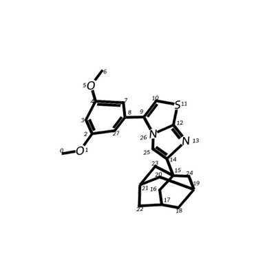 COc1cc(OC)cc(-c2csc3nc(C45CC6CC(CC(C6)C4)C5)cn23)c1